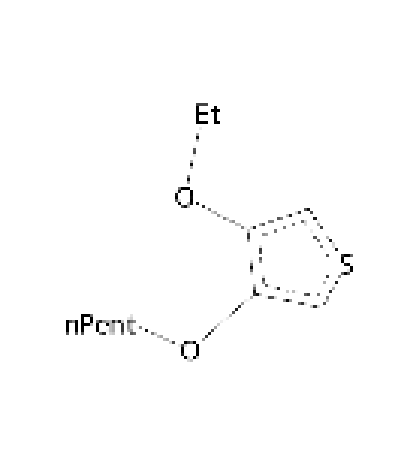 CCCCCOc1cscc1OCC